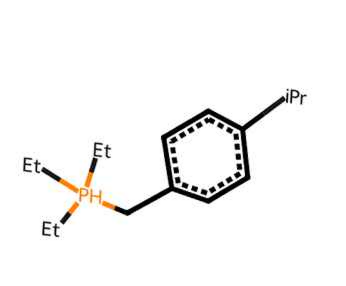 CC[PH](CC)(CC)Cc1ccc(C(C)C)cc1